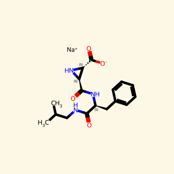 CC(C)CNC(=O)[C@H](Cc1ccccc1)NC(=O)[C@H]1N[C@@H]1C(=O)[O-].[Na+]